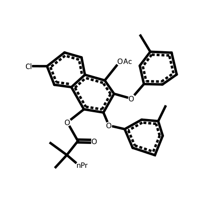 CCCC(C)(C)C(=O)Oc1c(Oc2cccc(C)c2)c(Oc2cccc(C)c2)c(OC(C)=O)c2ccc(Cl)cc12